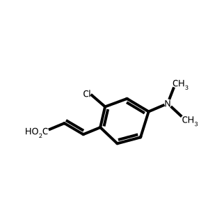 CN(C)c1ccc(/C=C/C(=O)O)c(Cl)c1